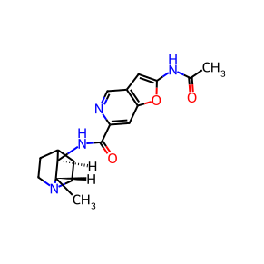 CC(=O)Nc1cc2cnc(C(=O)N[C@@H]3C4CCN(CC4)[C@H]3C)cc2o1